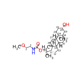 COCCNC(=O)OC[C@@H](C)[C@H]1CC[C@H]2[C@@H]3CC=C4C[C@@H](O)CC[C@]4(C)[C@H]3CC[C@]12C